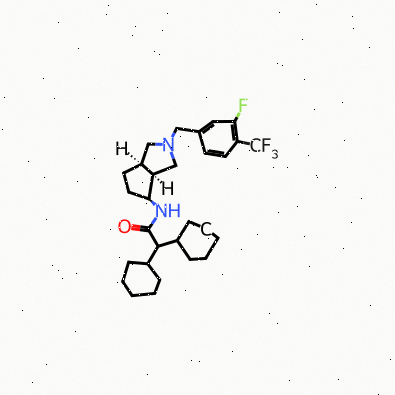 O=C(N[C@H]1CC[C@H]2CN(Cc3ccc(C(F)(F)F)c(F)c3)C[C@H]21)C(C1CCCCC1)C1CCCCC1